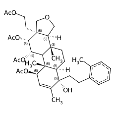 CC(=O)OCC[C@]12COC[C@H]1[C@]1(C)CC[C@@H]3[C@@](C)(C1[C@H](OC(C)=O)[C@@H]2OC(C)=O)[C@H](OC(C)=O)C=C(C)[C@]3(O)CCc1ccccc1C